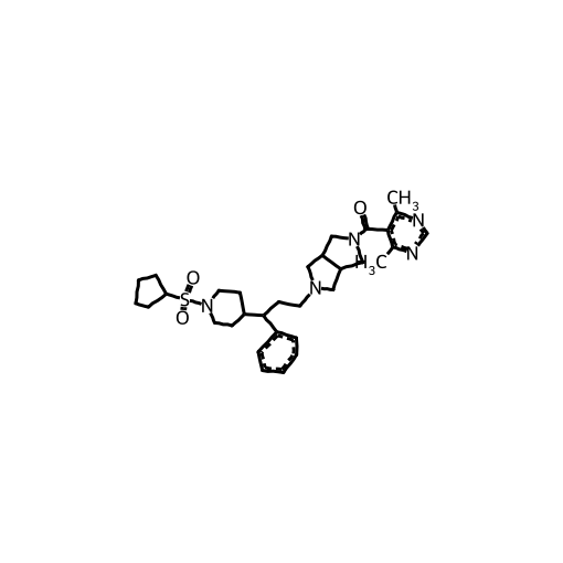 Cc1ncnc(C)c1C(=O)N1CC2CN(CCC(c3ccccc3)C3CCN(S(=O)(=O)C4CCCC4)CC3)CC2C1